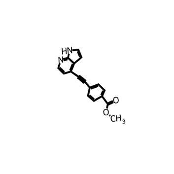 COC(=O)c1ccc(C#Cc2ccnc3[nH]ccc23)cc1